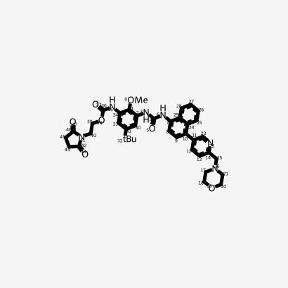 COc1c(NC(=O)Nc2ccc(-c3ccc(CN4CCOCC4)nc3)c3ccccc23)cc(C(C)(C)C)cc1NC(=O)OCCN1C(=O)CCC1=O